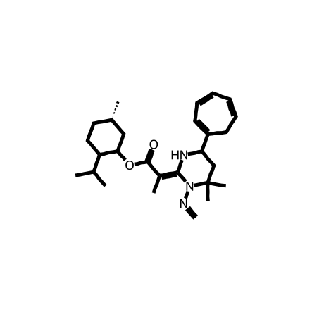 C=NN1/C(=C(\C)C(=O)OC2C[C@@H](C)CCC2C(C)C)NC(C2=CC=CC=CC2)CC1(C)C